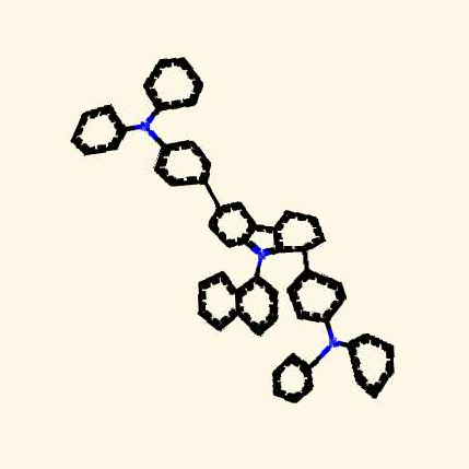 c1ccc(N(c2ccccc2)c2ccc(-c3ccc4c(c3)c3cccc(-c5ccc(N(c6ccccc6)c6ccccc6)cc5)c3n4-c3cccc4ccccc34)cc2)cc1